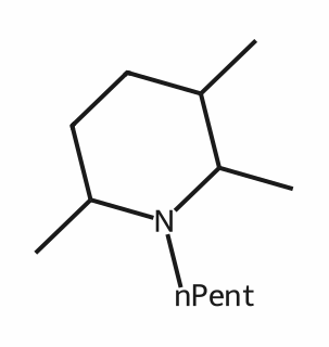 CCCCCN1C(C)CCC(C)C1C